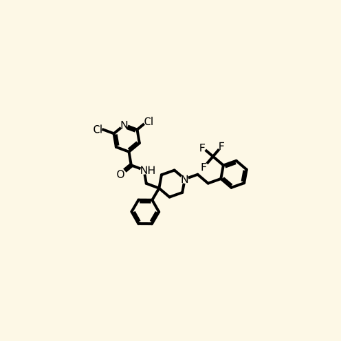 O=C(NCC1(c2ccccc2)CCN(CCc2ccccc2C(F)(F)F)CC1)c1cc(Cl)nc(Cl)c1